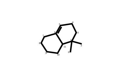 CC1(C)CCC=C2CCCCC21